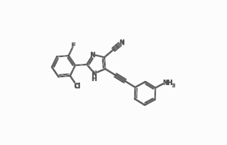 N#Cc1nc(-c2c(F)cccc2Cl)[nH]c1C#Cc1cccc(N)c1